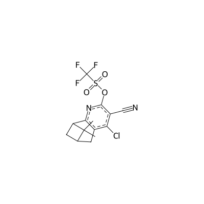 CC1(C)C2Cc3c(nc(OS(=O)(=O)C(F)(F)F)c(C#N)c3Cl)C1C2